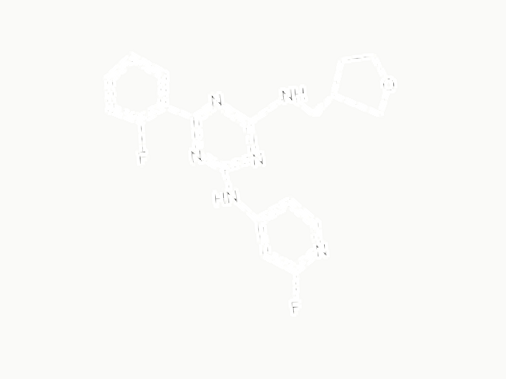 Fc1cc(Nc2nc(NC[C@@H]3CCOC3)nc(-c3ccccc3F)n2)ccn1